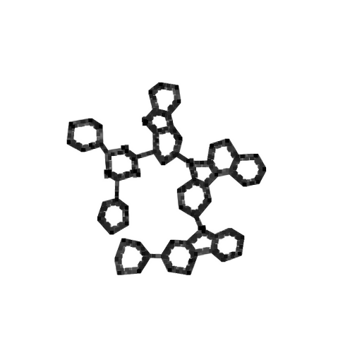 c1ccc(-c2ccc3c4ccccc4n(-c4ccc5c(c4)c4c6ccccc6ccc4n5-c4cc(-c5nc(-c6ccccc6)nc(-c6ccccc6)n5)c5sc6ccccc6c5c4)c3c2)cc1